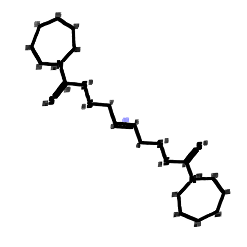 S=C(SSC/C=C/CSSC(=S)N1CCCCCC1)N1CCCCCC1